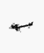 CCCC(C)(C)OC(=O)NCCOCCOCCOCCC(=O)N[C@@H](CC(N)=O)C(=O)N1CCC[C@H]1C(=O)N[C@H](C(=O)O)C(C)C